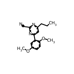 CCCc1cc(-c2cc(OC)ccc2OC)nc(C#N)n1